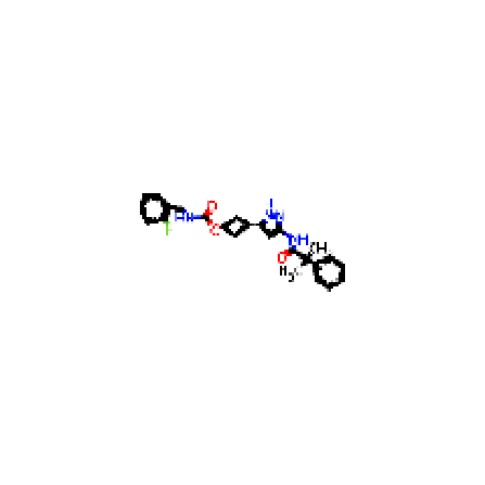 CC(C)(C(=O)Nc1cc([C@H]2C[C@@H](OC(=O)NCc3ccccc3F)C2)[nH]n1)c1ccccc1